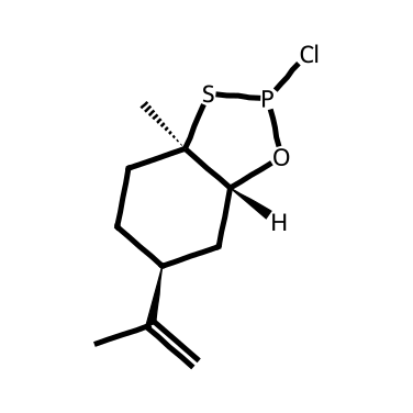 C=C(C)[C@H]1CC[C@@]2(C)SP(Cl)O[C@@H]2C1